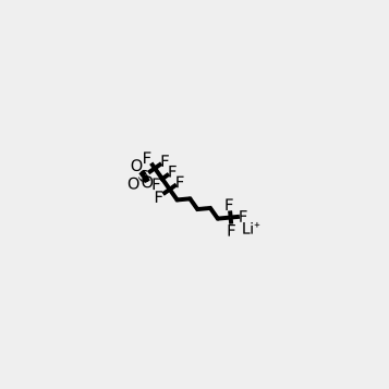 O=S(=O)([O-])C(F)(F)C(F)(F)C(F)(F)CCCCCC(F)(F)F.[Li+]